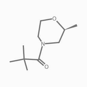 C[C@H]1CN(C(=O)C(C)(C)C)CCO1